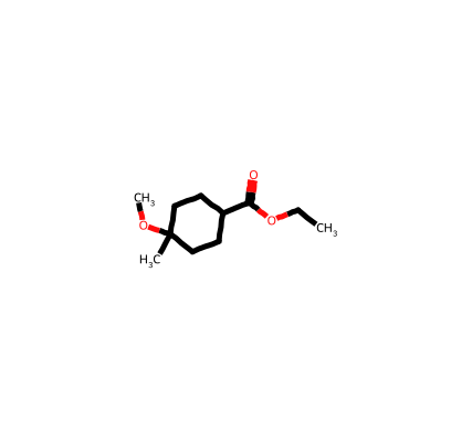 CCOC(=O)C1CCC(C)(OC)CC1